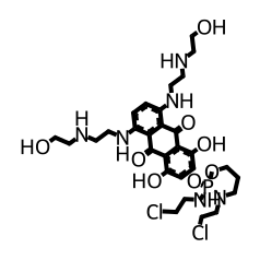 O=C1c2c(O)ccc(O)c2C(=O)c2c(NCCNCCO)ccc(NCCNCCO)c21.O=P1(NCCCl)OCCCN1CCCl